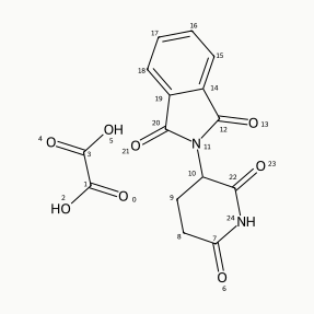 O=C(O)C(=O)O.O=C1CCC(N2C(=O)c3ccccc3C2=O)C(=O)N1